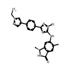 CCn1nc(-c2ccc(-c3cnn(CC(F)(F)F)c3)cc2)nc1Nc1cc2c(cc1C)C(=O)N[C@H]2C